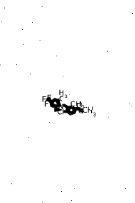 COC(=O)c1ccc(Cl)c(Cn2ccc3cc(C(F)(F)F)cc(C)c32)c1C